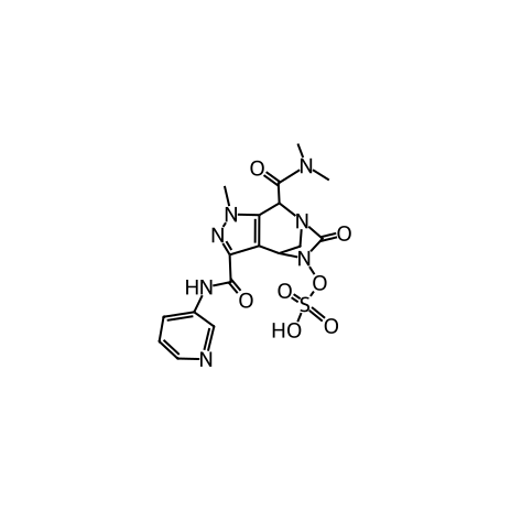 CN(C)C(=O)C1c2c(c(C(=O)Nc3cccnc3)nn2C)C2CN1C(=O)N2OS(=O)(=O)O